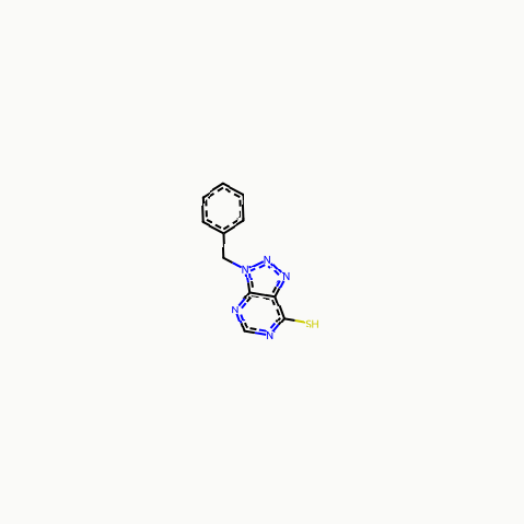 Sc1ncnc2c1nnn2Cc1ccccc1